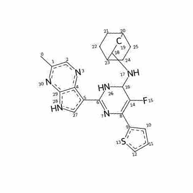 Cc1cnc2c(C3=NC(c4cccs4)=C(F)C(NC4CC5CCC4CC5)N3)c[nH]c2n1